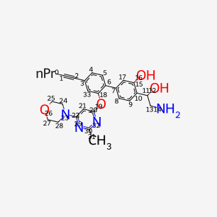 CCCC#Cc1ccc(-c2ccc(C(O)CN)c(O)c2)c(Oc2cc(N3CCOCC3)nc(C)n2)c1